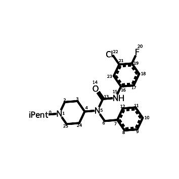 CCCC(C)N1CCC(N(Cc2ccccc2)C(=O)Nc2ccc(F)c(Cl)c2)CC1